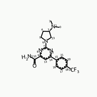 CN(C)[C@@H]1CCN(c2nc(C(N)=O)cc(-c3ccc(C(F)(F)F)cc3)n2)C1